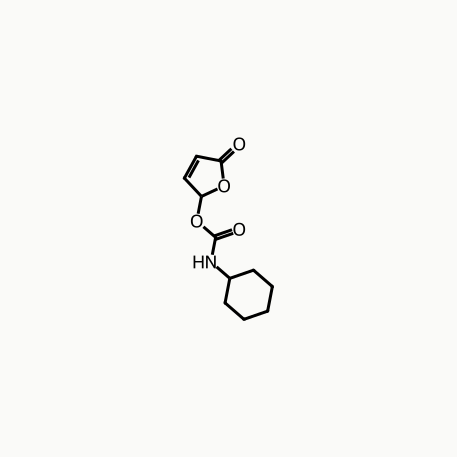 O=C1C=CC(OC(=O)NC2CCCCC2)O1